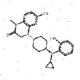 CN1C(=O)CN([C@H]2CC[C@H](N(c3ccccc3O)C3CC3)CC2)c2nc(C#N)ccc21